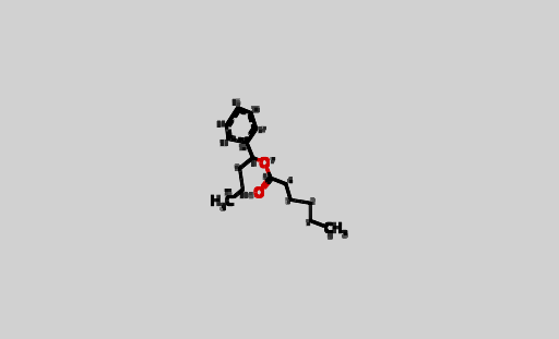 CCCCCC(=O)OC(CCC)c1ccccc1